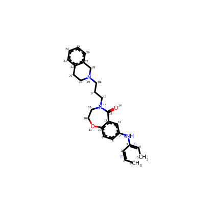 C/C=C\C(=C/C)Nc1ccc2c(c1)C(=O)N(CCCN1CCc3ccccc3C1)CCO2